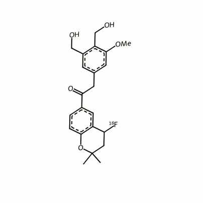 COc1cc(CC(=O)c2ccc3c(c2)C([18F])CC(C)(C)O3)cc(CO)c1CO